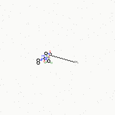 CCCCCCCCCCCCCCCCCCC1CC(=O)N(c2cccc(Nc3[nH]n(-c4c(Cl)cc(Cl)cc4Cl)c(=O)c3N=Nc3cccc4ccccc34)c2Cl)C1=O